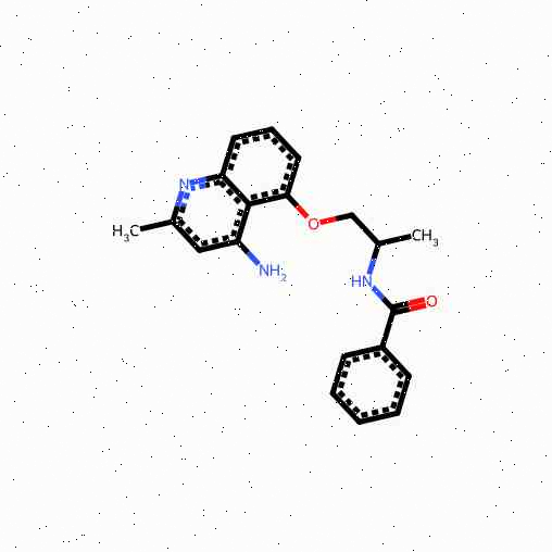 Cc1cc(N)c2c(OCC(C)NC(=O)c3ccccc3)cccc2n1